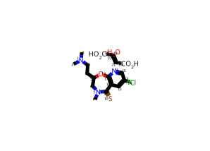 CN(C)CCC1CN(C)C(=S)c2cc(Cl)cnc2O1.O.O=C(O)C=CC(=O)O